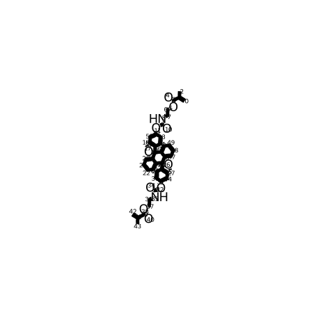 C=C(C)C(=O)OCCNC(=O)Oc1ccc(C2(OC)c3ccccc3C(OC)(c3ccc(OC(=O)NCCOC(=O)C(=C)C)cc3)c3ccccc32)cc1